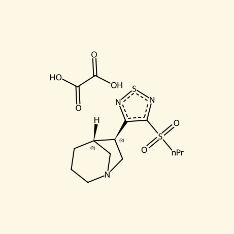 CCCS(=O)(=O)c1nsnc1[C@H]1CN2CCC[C@H]1C2.O=C(O)C(=O)O